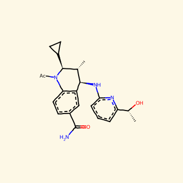 CC(=O)N1c2ccc(C(N)=O)cc2[C@H](Nc2cccc([C@@H](C)O)n2)[C@@H](C)[C@@H]1C1CC1